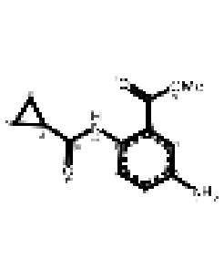 COC(=O)c1cc(N)ccc1NC(=O)C1CC1